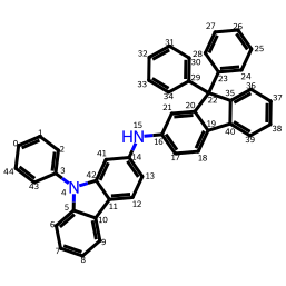 c1ccc(-n2c3ccccc3c3ccc(Nc4ccc5c(c4)C(c4ccccc4)(c4ccccc4)c4ccccc4-5)cc32)cc1